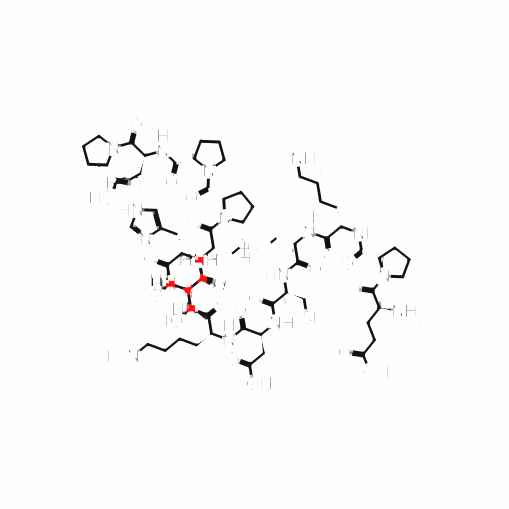 C[C@@H](O)[C@H](NC(=O)[C@H](CCCCN)NC(=O)[C@H](CC(=O)O)NC(=O)[C@H](CS)NC(=O)[C@H](CO)NC(=O)[C@H](CCCCN)NC(=O)[C@@H]1CCCN1C(=O)[C@@H](N)CCC(=O)O)C(=O)N[C@@H](Cc1c[nH]cn1)C(=O)N[C@H](C(=O)N[C@@H](CS)C(=O)N1CCC[C@H]1C(=O)N1CCC[C@H]1C(=O)N[C@@H](CS)C(=O)N1CCC[C@H]1C(=O)O)[C@@H](C)O